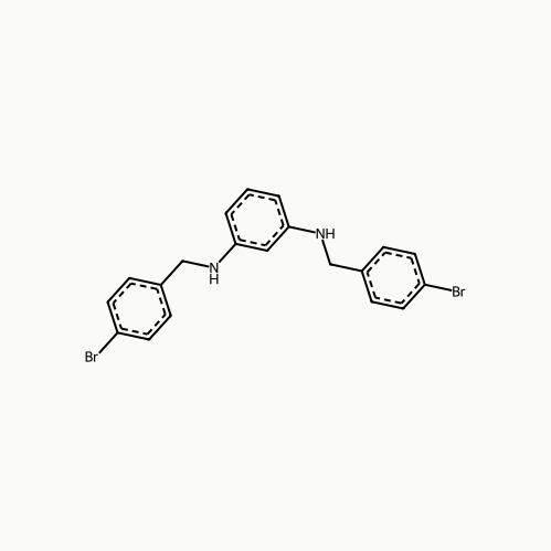 Brc1ccc(CNc2cccc(NCc3ccc(Br)cc3)c2)cc1